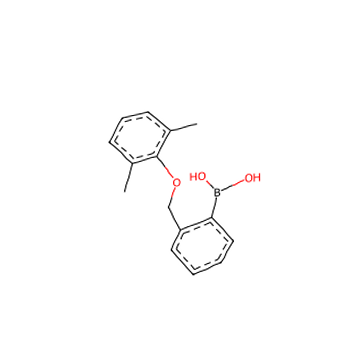 Cc1cccc(C)c1OCc1ccccc1B(O)O